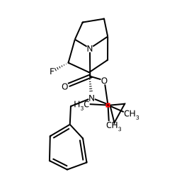 CC(C)(C)OC(=O)N1C2CCC1[C@@H](F)[C@@H](N(Cc1ccccc1)C1CC1)C2